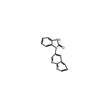 O=c1[nH]c2ccccc2n1-c1cnc2ncccc2c1